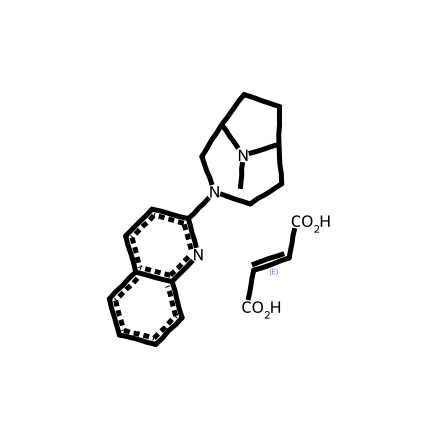 CN1C2CCC1CN(c1ccc3ccccc3n1)CC2.O=C(O)/C=C/C(=O)O